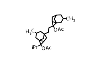 CC(=O)OC1(CCC23CC(C)CC4(C2)C(C3)C4(OC(C)=O)C(C)C)C2CC3CC(C)CC21C3